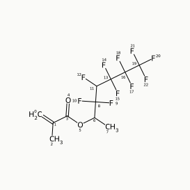 C=C(C)C(=O)OC(C)C(F)(F)C(F)C(F)(F)C(F)(F)C(F)(F)F